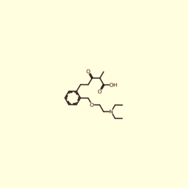 CCN(CC)CCOCc1ccccc1CCC(=O)C(C)C(=O)O